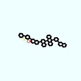 c1cc(-c2ccc3ccccc3c2)cc(-c2c3ccccc3c(-c3ccc(-c4ccc5cc6oc7c(ccc8c9ccccc9sc87)c6cc5c4)c4ccccc34)c3ccccc23)c1